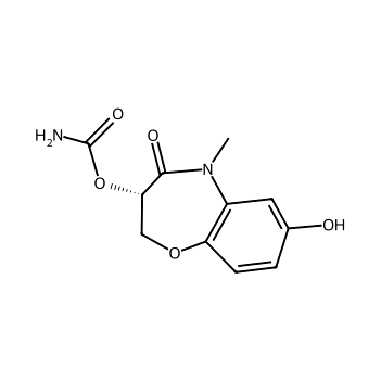 CN1C(=O)[C@@H](OC(N)=O)COc2ccc(O)cc21